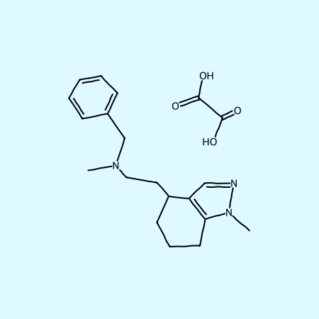 CN(CCC1CCCc2c1cnn2C)Cc1ccccc1.O=C(O)C(=O)O